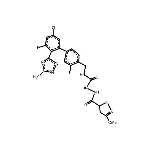 COC1=NOC(C(=O)NNC(=O)NCc2ncc(-c3cc(Cl)cc(F)c3-c3nnn(C)n3)cc2F)C1